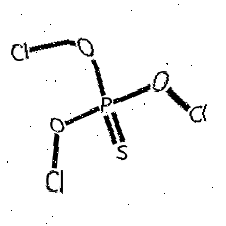 S=P(OCl)(OCl)OCl